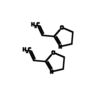 C=CC1=NCCO1.C=CC1=NCCO1